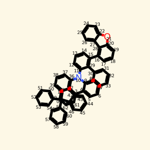 c1ccc(-c2ccccc2N(c2cccc(-c3cccc4oc5ccccc5c34)c2-c2ccccc2)c2cccc3c2-c2ccccc2C3(c2ccccc2)c2ccccc2)cc1